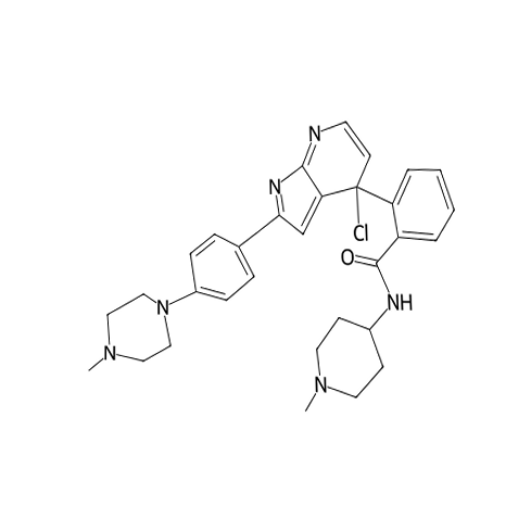 CN1CCC(NC(=O)c2ccccc2C2(Cl)C=CN=C3N=C(c4ccc(N5CCN(C)CC5)cc4)C=C32)CC1